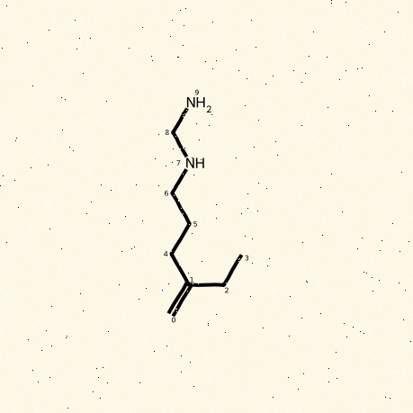 C=C(CC)CCCNCN